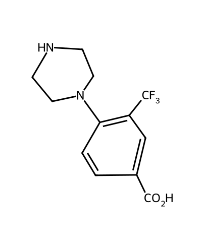 O=C(O)c1ccc(N2CCNCC2)c(C(F)(F)F)c1